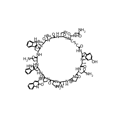 CCCC[C@H]1C(=O)N(C)[C@@H](CCCC)C(=O)N[C@@H](CC(C)C)C(=O)N[C@H](C(=O)NCC(N)=O)CSCC(=O)N[C@@H](Cc2ccc(O)cc2)C(=O)N(C)[C@@H](C)C(=O)N[C@@H](CC(N)=O)C(=O)N2CCC[C@H]2C(=O)N[C@@H](CN)C(=O)N[C@@H](CC(C)C)C(=O)N2C[C@H](Oc3nc4ccccc4cc3Br)C[C@H]2C(=O)N[C@@H](Cc2c[nH]c3ccccc23)C(=O)N[C@@H](CCN)C(=O)N[C@@H](Cc2c[nH]c3ccccc23)C(=O)N1C